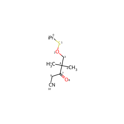 CC(C)SOCC(C)(C)C(=O)CC#N